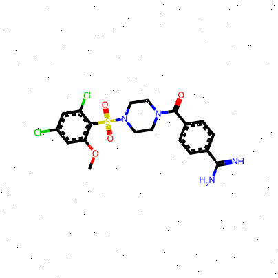 COc1cc(Cl)cc(Cl)c1S(=O)(=O)N1CCN(C(=O)c2ccc(C(=N)N)cc2)CC1